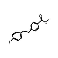 COC(=O)c1ccc(CCc2ccc(F)cc2)cc1